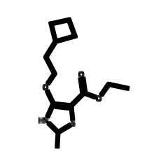 CCOC(=O)C1=C(OCCC2CCC2)NC(C)S1